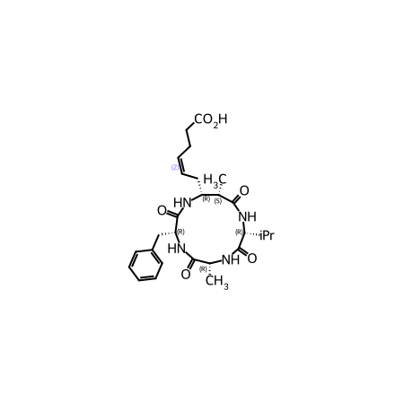 CC(C)[C@H]1NC(=O)[C@@H](C)[C@@H](C/C=C\CCC(=O)O)NC(=O)[C@@H](Cc2ccccc2)NC(=O)[C@@H](C)NC1=O